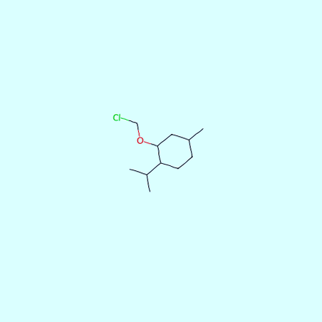 CC1CCC(C(C)C)C(OCCl)C1